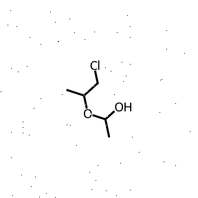 CC(O)OC(C)CCl